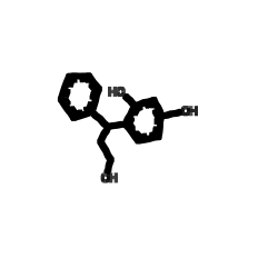 OCCC(c1ccccc1)c1ccc(O)cc1O